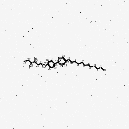 CCCCCCCCCCCCc1cnc(-c2ccc(OCCC(F)C(F)CC)cc2)nc1